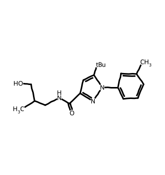 Cc1cccc(-n2nc(C(=O)NCC(C)CO)cc2C(C)(C)C)c1